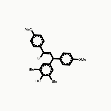 COc1ccc(/C(Br)=C/C(c2ccc(OC)cc2)c2cc(C(C)(C)C)c(O)c(C(C)(C)C)c2)cc1